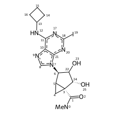 CNC(=O)[C@]12CC1[C@@H](n1cnc3c(NC4CCC4)nc(I)nc31)C(O)[C@@H]2O